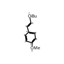 COc1ccc(C=COCC(C)C)cc1